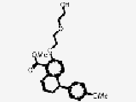 COC(=O)c1c(OCCOCCO)ccc2c1C=CCC2c1ccc(OC)cc1